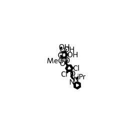 CO[C@H]1O[C@H](CO)[C@@H](O)[C@H](O)[C@H]1OC(=O)c1cc(Cl)c(OCc2nc3ccccc3n2C(C)C)c(Cl)c1